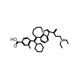 C=C(CCN(CC)CC)c1cn2c3c(cccc13)/C(=C(/c1ccc(C(=O)O)cc1C)C1CCCCC1)CCCC2